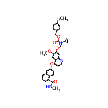 CNC(=O)c1cccc2cc(Oc3ccnc4cc(OCN(C(=O)OCc5ccc(OC)cc5)C5CC5)c(OC)cc34)ccc12